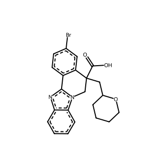 O=C(O)C1(CC2CCCCO2)Cn2c(nc3ccccc32)-c2ccc(Br)cc21